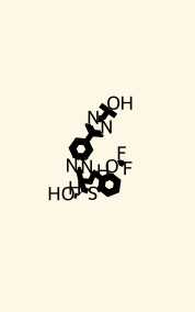 CC(C)(O)c1ncc(-c2ccc3nc4n(c3c2)[C@H]2C[C@H]4[C@@H](CO)Sc3cccc(OC(F)F)c32)cn1